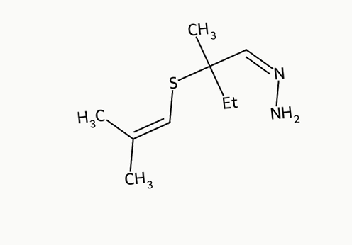 CCC(C)(/C=N\N)SC=C(C)C